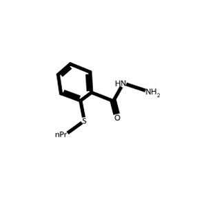 CCCSc1ccccc1C(=O)NN